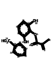 C=C(C)C(=O)Oc1c(O)cccc1O.O=C(O)c1ccccc1